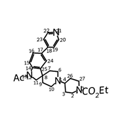 CCOC(=O)N1CCC(N2CCC3(CC2)CN(C(C)=O)c2ccc(-c4ccncc4)cc23)CC1